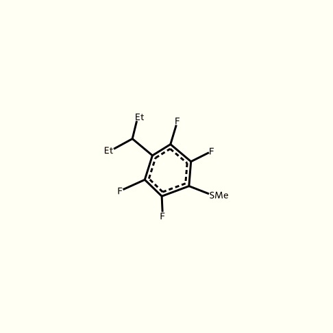 CCC(CC)c1c(F)c(F)c(SC)c(F)c1F